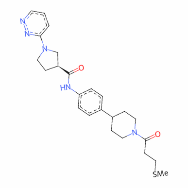 CSCCC(=O)N1CCC(c2ccc(NC(=O)[C@H]3CCN(c4cccnn4)C3)cc2)CC1